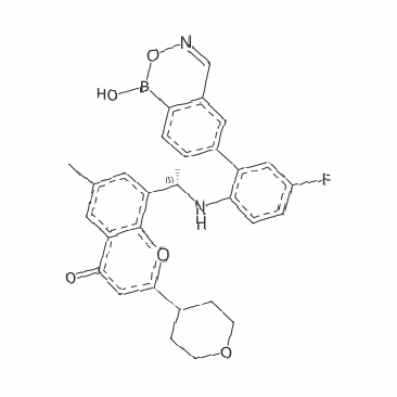 Cc1cc([C@H](C)Nc2ccc(F)cc2-c2ccc3c(c2)C=NOB3O)c2oc(C3CCOCC3)cc(=O)c2c1